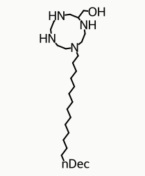 CCCCCCCCCCCCCCCCCCCCCCCCN1CCNCCNCC(CO)NCC1